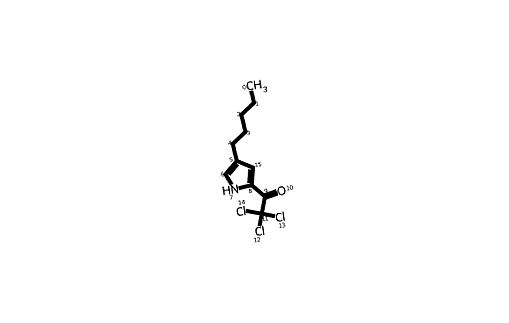 CCCCCc1c[nH]c(C(=O)C(Cl)(Cl)Cl)c1